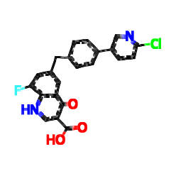 O=C(O)c1c[nH]c2c(F)cc(Cc3ccc(-c4ccc(Cl)nc4)cc3)cc2c1=O